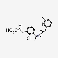 C/C(=N/OCc1cccc(C)n1)c1cccc(CNC(=O)O)c1Cl